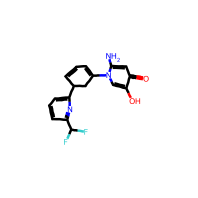 Nc1cc(=O)c(O)cn1C1=CC=CC(c2cccc(C(F)F)n2)C1